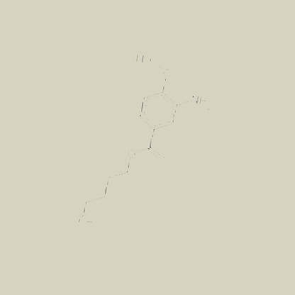 CCCCCOC(=O)c1ccc(OC)c(N)c1